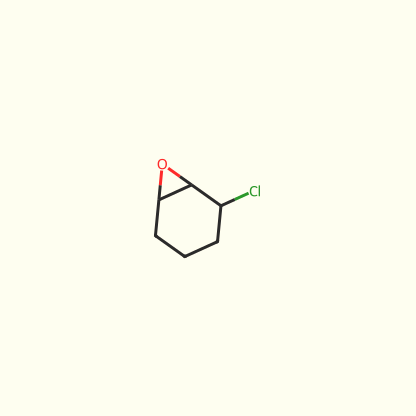 ClC1CCCC2OC12